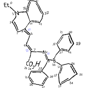 CCN1C=C\C(=C/C=C(\N=C(\B(c2ccccc2)c2ccccc2)c2ccccc2)C(=O)O)c2ccccc21